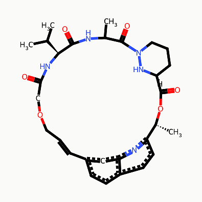 CC1NC(=O)[C@H](C(C)C)NC(=O)COC/C=C/c2ccc3ccc(nc3c2)[C@@H](C)OC(=O)[C@@H]2CCCN(N2)C1=O